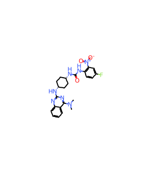 CN(C)c1nc(N[C@H]2CC[C@@H](NC(=O)Nc3ccc(F)cc3[N+](=O)[O-])CC2)nc2ccccc12